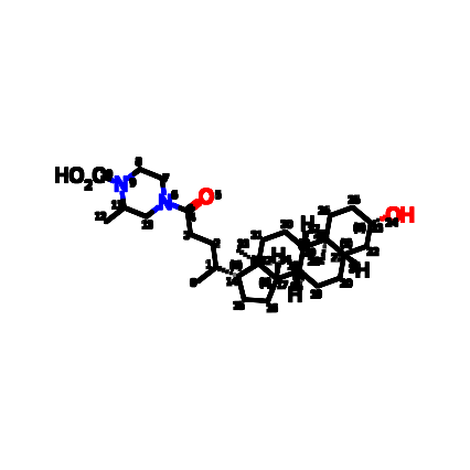 CC(CCC(=O)N1CCN(C(=O)O)C(C)C1)[C@H]1CC[C@H]2[C@@H]3CC[C@H]4C[C@@H](O)CC[C@]4(C)[C@H]3CC[C@]12C